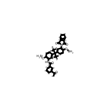 BOc1ccc(C(c2ccc(OB)c(N3C(=O)C4C5C=CC(C5)C4C3=O)c2)(C(F)(F)F)C(F)(F)F)cc1NC(=O)c1cccc(C(C)=O)c1